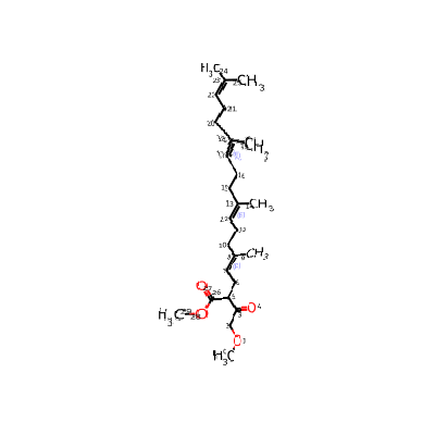 COCC(=O)C(C/C=C(\C)CC/C=C(\C)CC/C=C(\C)CCC=C(C)C)C(=O)OC